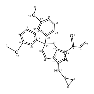 C=CC(=O)n1nc(NC2CC2)c2c1CC(c1cccc(OC)c1)(c1cccc(OC)c1)C=C2